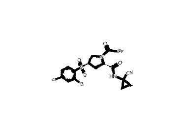 CC(C)C(=O)N1C[C@H](S(=O)(=O)c2ccc(Cl)cc2Cl)C[C@H]1C(=O)NC1(C#N)CC1